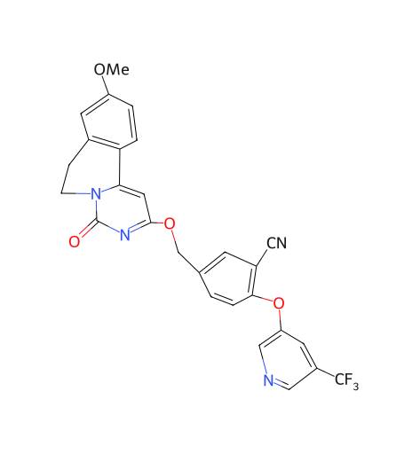 COc1ccc2c(c1)CCn1c-2cc(OCc2ccc(Oc3cncc(C(F)(F)F)c3)c(C#N)c2)nc1=O